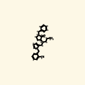 N#Cc1ccccc1Cn1cncc1CN(CCN)C1CCN(Cc2ccccc2)C1=O